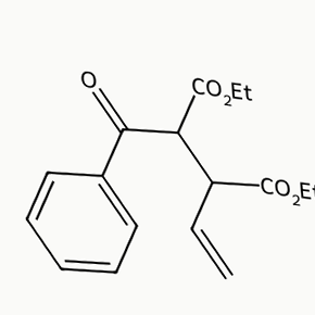 C=CC(C(=O)OCC)C(C(=O)OCC)C(=O)c1ccccc1